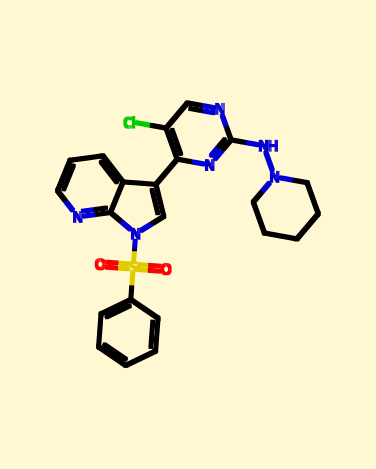 O=S(=O)(c1ccccc1)n1cc(-c2nc(NN3CCCCC3)ncc2Cl)c2cccnc21